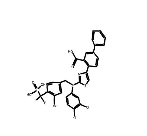 O=C(O)c1cc(-c2ccccc2)ccc1-c1csc(N(Cc2ccc(C(F)(F)P(=O)(O)O)c(Br)c2)c2ccc(Cl)c(Cl)c2)n1